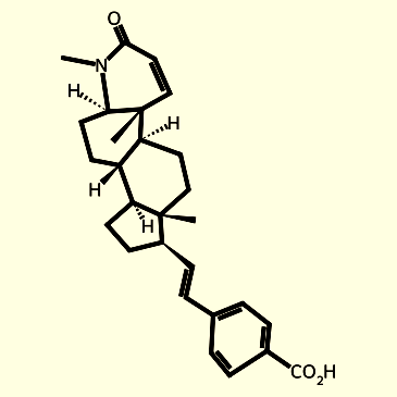 CN1C(=O)C=C[C@]2(C)[C@H]3CC[C@]4(C)[C@@H](/C=C/c5ccc(C(=O)O)cc5)CC[C@H]4[C@@H]3CC[C@@H]12